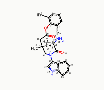 CC(C)c1cccc(C(C)C)c1OC(=O)CC(C)(C)CN(C(=O)[C@H](C)N)c1c[nH]c2ccccc12